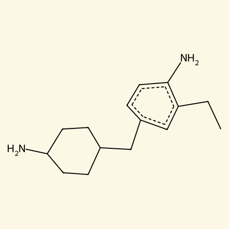 CCc1cc(CC2CCC(N)CC2)ccc1N